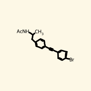 CC(=O)NC(C)Cc1ccc(C#Cc2ccc(Br)cc2)cc1